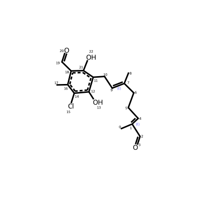 C/C(C=O)=C\CC/C(C)=C/Cc1c(O)c(Cl)c(C)c(C=O)c1O